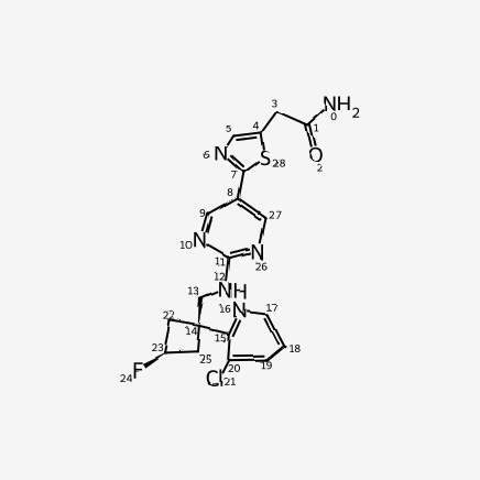 NC(=O)Cc1cnc(-c2cnc(NC[C@]3(c4ncccc4Cl)C[C@H](F)C3)nc2)s1